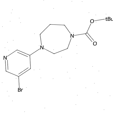 CC(C)(C)OC(=O)N1CCCN(c2cncc(Br)c2)CC1